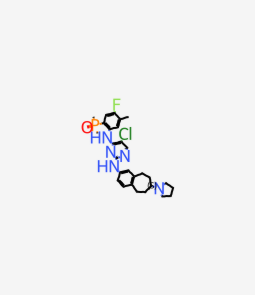 Cc1cc(Nc2nc(Nc3ccc4c(c3)CC[C@@H](N3CCCC3)CC4)ncc2Cl)c(P(C)(C)=O)cc1F